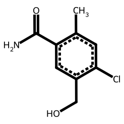 Cc1cc(Cl)c(CO)cc1C(N)=O